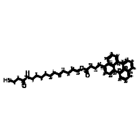 O=C(CCS)NCCCCCCCCCCCOC(=O)CCCc1ccc2c3cccc4cccc(c5cccc1c52)c43